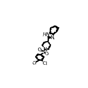 O=S(=O)(c1ccc(Cl)c(Cl)c1)N1CCC(c2nc3ccccc3[nH]2)CC1